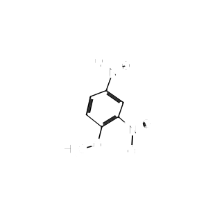 COc1ccc([13N+](=O)[O-])cc1[15N+](=O)[O-]